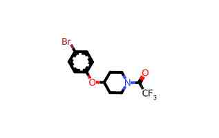 O=C(N1CCC(Oc2ccc(Br)cc2)CC1)C(F)(F)F